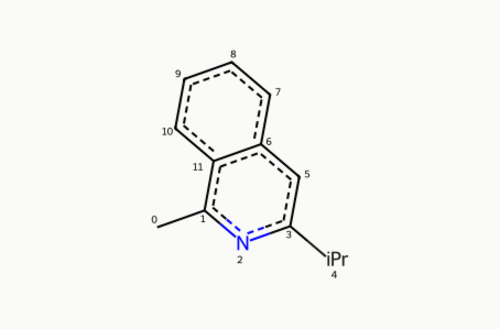 Cc1nc(C(C)C)cc2ccccc12